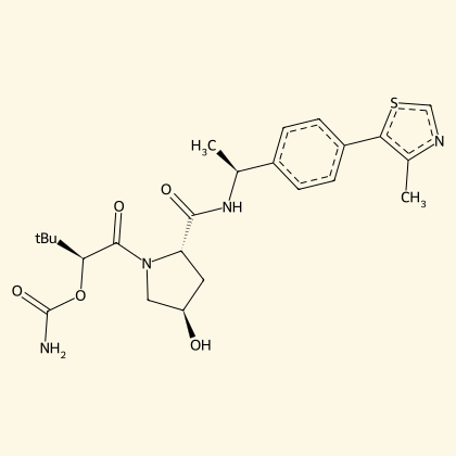 Cc1ncsc1-c1ccc([C@H](C)NC(=O)[C@@H]2C[C@@H](O)CN2C(=O)[C@@H](OC(N)=O)C(C)(C)C)cc1